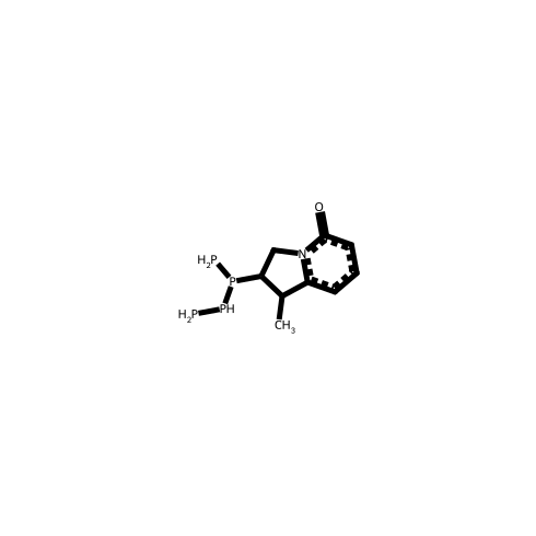 CC1c2cccc(=O)n2CC1P(P)PP